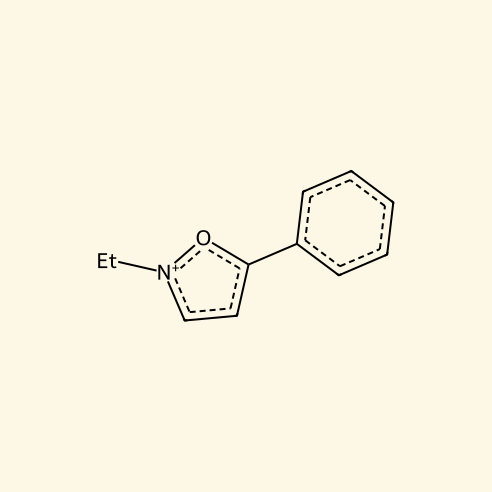 CC[n+]1ccc(-c2ccccc2)o1